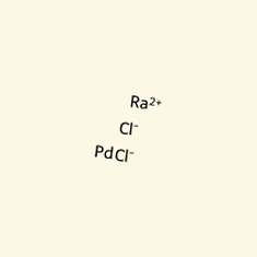 [Cl-].[Cl-].[Pd].[Ra+2]